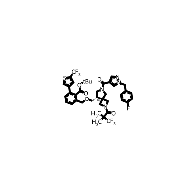 CC(C)(C)OC(=O)c1c(COC[C@@H]2CN(C(=O)c3cnn(Cc4ccc(F)cc4)c3)CC23CN(C(=O)C(C)(C)C(F)(F)F)C3)cccc1-c1csc(C(F)(F)F)c1